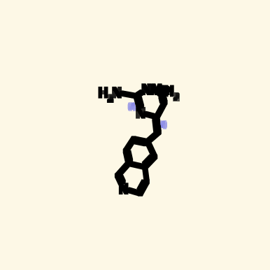 C=CC(=C/c1ccc2cnccc2c1)/N=C(/N)NC